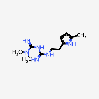 Cc1ccc(CCNC(=N)NC(=N)N(C)C)[nH]1